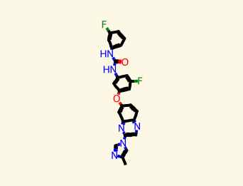 Cc1cn(-c2cnc3ccc(Oc4cc(F)cc(NC(=O)Nc5cccc(F)c5)c4)cc3n2)cn1